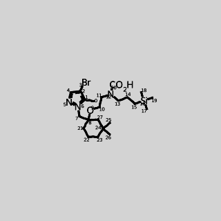 Cc1c(Br)cnn1CC1(OCCN(CCC[Si](C)(C)C)C(=O)O)CCCC(C)(C)C1